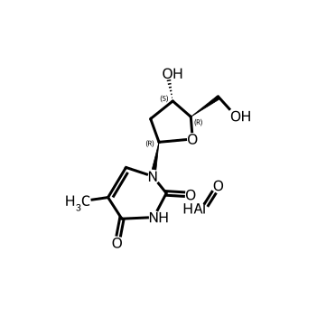 Cc1cn([C@H]2C[C@H](O)[C@@H](CO)O2)c(=O)[nH]c1=O.[O]=[AlH]